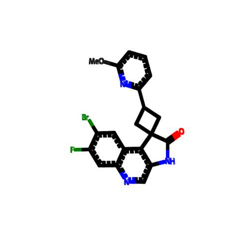 COc1cccc(C2CC3(C2)C(=O)Nc2cnc4cc(F)c(Br)cc4c23)n1